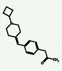 CC(=O)Cc1ccc(C=C2CCN(C3CCC3)CC2)cc1